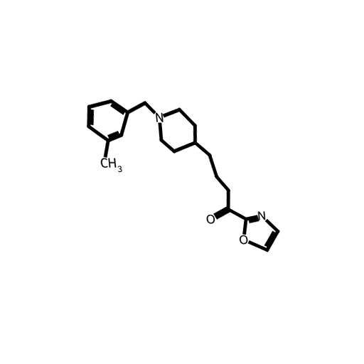 Cc1cccc(CN2CCC(CCCC(=O)c3ncco3)CC2)c1